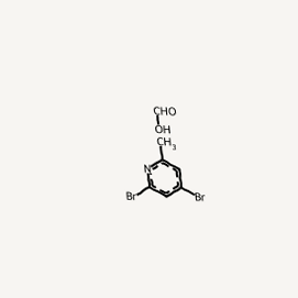 Cc1cc(Br)cc(Br)n1.O=CO